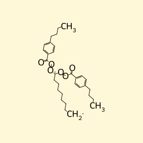 [CH2]CCCCCCC[C](OOC(=O)c1ccc(CCCC)cc1)OOC(=O)c1ccc(CCCC)cc1